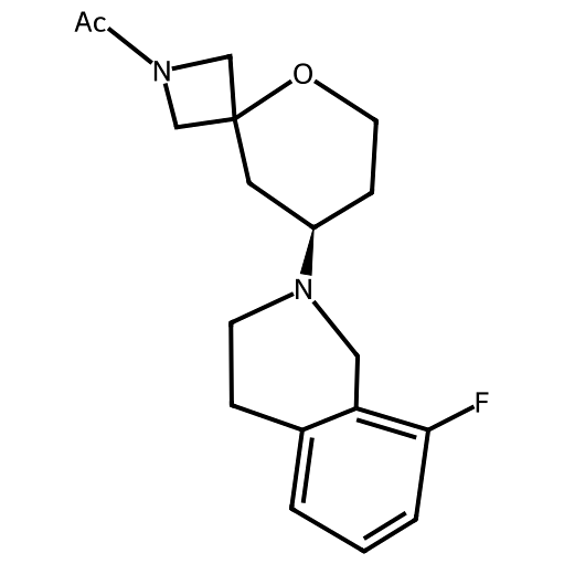 CC(=O)N1CC2(C[C@H](N3CCc4cccc(F)c4C3)CCO2)C1